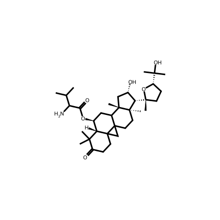 CC(C)C(N)C(=O)O[C@H]1CC2C3(CC[C@]4(C)[C@@H]([C@@]5(C)CC[C@@H](C(C)(C)O)O5)[C@@H](O)C[C@@]24C)CC32CCC(=O)C(C)(C)[C@H]12